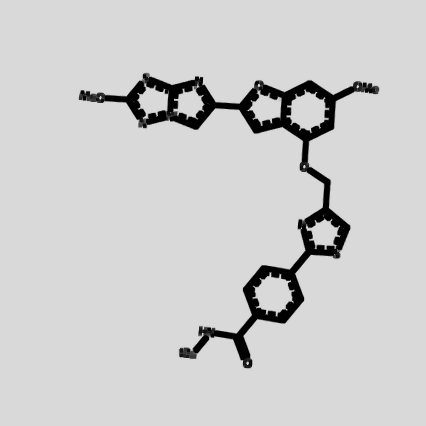 COc1cc(OCc2csc(-c3ccc(C(=O)NC(C)(C)C)cc3)n2)c2cc(-c3cn4nc(OC)sc4n3)oc2c1